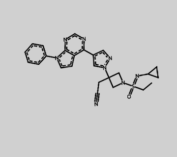 CCS(=O)(=NC1CC1)N1CC(CC#N)(n2cc(-c3ncnc4c3ccn4-c3ccccc3)cn2)C1